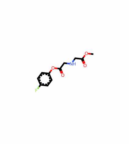 COC(=O)CNCC(=O)Oc1ccc(F)cc1